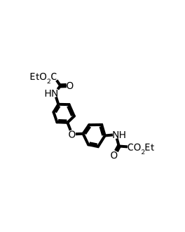 CCOC(=O)C(=O)Nc1ccc(Oc2ccc(NC(=O)C(=O)OCC)cc2)cc1